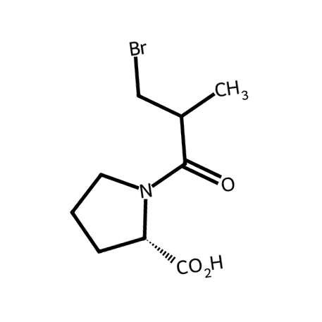 CC(CBr)C(=O)N1CCC[C@H]1C(=O)O